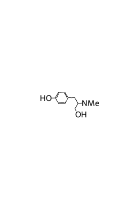 CNC(CO)Cc1ccc(O)cc1